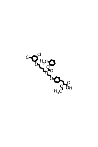 CCOC(Cc1ccc(OCCN(CCCCOc2cc(Cl)cc(Cl)c2)C(=O)Oc2ccccc2C)cc1)C(=O)O